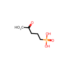 O=C(O)C(=O)CCCP(=O)(O)O